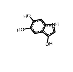 Oc1cc2[nH]cc(O)c2cc1O